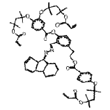 C=CC(=O)OC(C)(C)CC(C)(C)Oc1ccc(C(=O)OCCc2ccc(OC(=O)c3ccc(OC(C)(C)CC(C)(C)OC(=O)C=C)c(OC(C)(C)CC(C)(C)OC(=O)C=C)c3)c(/C=N/N=C3C4C=CC=CC4C4C=CC=CC34)c2)cc1